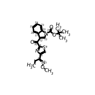 CCC(=NOC)c1csc(C(=O)c2cn(C(=O)OC(C)(C)C)c3ccccc23)n1